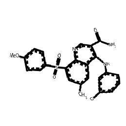 COc1ccc(S(=O)(=O)c2cc(C)cc3c(Nc4cccc(Cl)c4)c(C(N)=O)cnc23)cc1